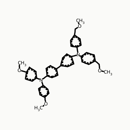 COCc1ccc(N(c2ccc(COC)cc2)c2ccc(-c3ccc(N(c4ccc(OC)cc4)c4ccc(OC)cc4)cc3)cc2)cc1